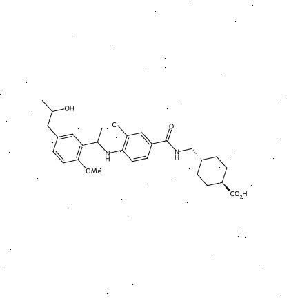 COc1ccc(CC(C)O)cc1C(C)Nc1ccc(C(=O)NC[C@H]2CC[C@H](C(=O)O)CC2)cc1Cl